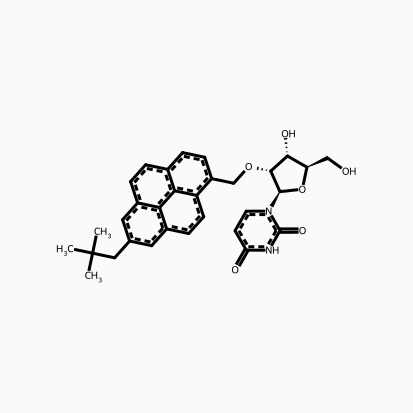 CC(C)(C)Cc1cc2ccc3ccc(CO[C@@H]4[C@H](O)[C@@H](CO)O[C@H]4n4ccc(=O)[nH]c4=O)c4ccc(c1)c2c34